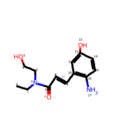 CCN(CCO)C(=O)/C=C/c1cc(O)ccc1N